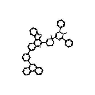 CN1C(c2ccccc2)=NC(C2(C)C=C(c3nc4cc(-c5cccc(-c6cc7ccccc7c7ccccc67)c5)ccc4c4c3oc3ccccc34)C=CC2)=CC1c1ccccc1